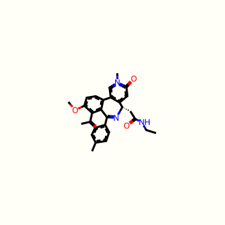 C=C(C)c1c(OC)ccc2c1C(c1ccc(C)cc1)=N[C@@H](CC(=O)NCC)c1cc(=O)n(C)cc1-2